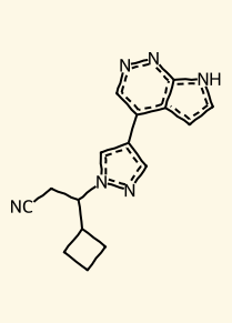 N#CCC(C1CCC1)n1cc(-c2cnnc3[nH]ccc23)cn1